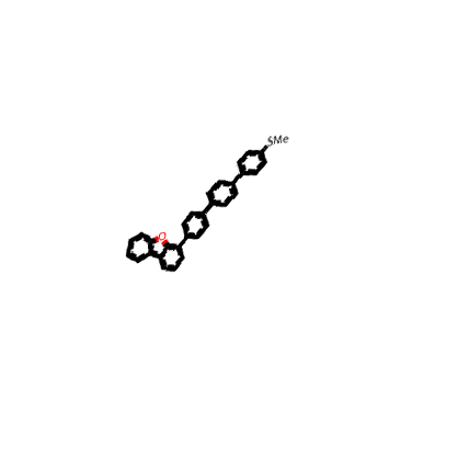 CSc1ccc(-c2ccc(-c3ccc(-c4cccc5c4oc4ccccc45)cc3)cc2)cc1